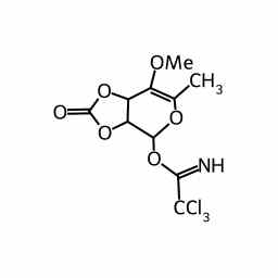 COC1=C(C)OC(OC(=N)C(Cl)(Cl)Cl)C2OC(=O)OC12